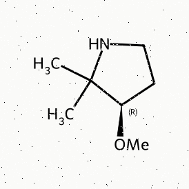 CO[C@@H]1CCNC1(C)C